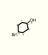 O[C@H]1CC[C@H](Br)CC1